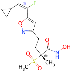 C[C@@](CCc1cc(/C(F)=C\C2CC2)on1)(C(=O)NO)S(C)(=O)=O